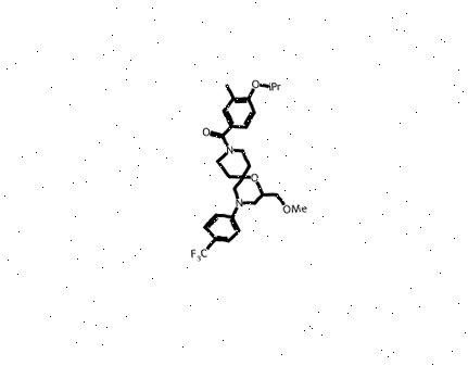 COCC1CN(c2ccc(C(F)(F)F)cc2)CC2(CCN(C(=O)c3ccc(OC(C)C)c(C)c3)CC2)O1